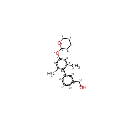 Cc1cc(OC2CCCCO2)cc(C)c1-c1cccc(CO)c1